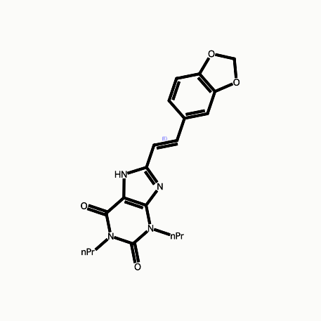 CCCn1c(=O)c2[nH]c(/C=C/c3ccc4c(c3)OCO4)nc2n(CCC)c1=O